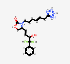 O=C1OCC(C=CC(O)C(F)(F)c2ccccc2)N1CCCC=CCc1nnn[nH]1